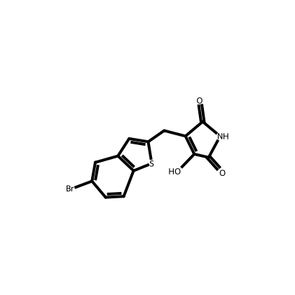 O=C1NC(=O)C(Cc2cc3cc(Br)ccc3s2)=C1O